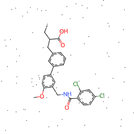 CCC(Cc1cccc(-c2ccc(OC)c(CNC(=O)c3ccc(Cl)cc3Cl)c2)c1)C(=O)O